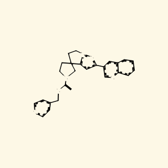 O=C(NCc1ccncc1)N1CCC2(CCn3nc(-c4cnc5ccccc5c4)cc32)C1